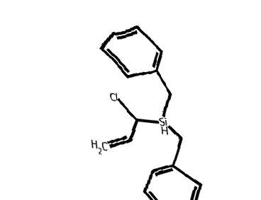 C=CC(Cl)[SiH](Cc1ccccc1)Cc1ccccc1